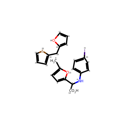 Cc1ccc(C(Nc2ccc(I)cc2)C(=O)O)o1.c1coc(Cc2cccs2)c1